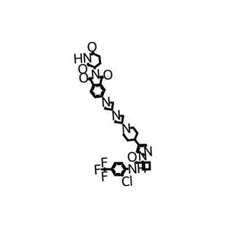 O=C1CCC(N2C(=O)c3ccc(N4CC(N5CC(N6CCC(c7cnn(C8(C(=O)Nc9ccc(C(F)(F)F)cc9Cl)CCC8)c7)CC6)C5)C4)cc3C2=O)C(=O)N1